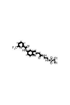 CCN(CC)S(=O)(=O)NCCNC(=O)Cn1cc2cc(NC(=O)c3cccc(C(F)(F)F)n3)ccc2n1